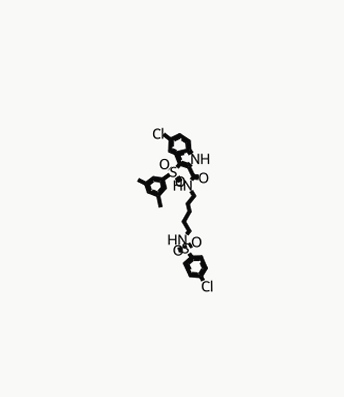 Cc1cc(C)cc(S(=O)(=O)c2c(C(=O)NCCCCCNS(=O)(=O)c3ccc(Cl)cc3)[nH]c3ccc(Cl)cc23)c1